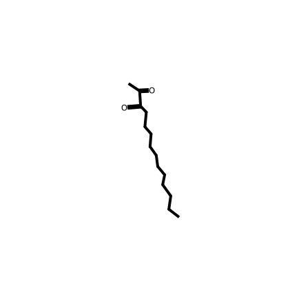 CCCCCCCCCCCC(=O)C(C)=O